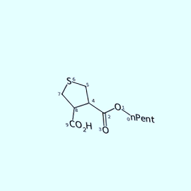 CCCCCOC(=O)C1CSCC1C(=O)O